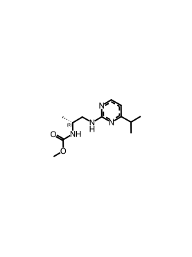 COC(=O)N[C@H](C)CNc1nccc(C(C)C)n1